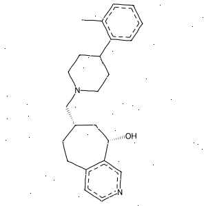 Cc1ccccc1C1CCN(C[C@H]2CCc3ccncc3[C@@H](O)C2)CC1